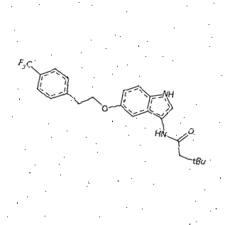 CC(C)(C)CC(=O)Nc1c[nH]c2ccc(OCCc3ccc(C(F)(F)F)cc3)cc12